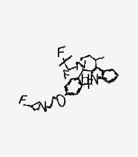 CC1CCN(CC(C)(C)F)C(c2c(F)cc(OCCN3CC(CF)C3)cc2F)c2[nH]c3ccccc3c21